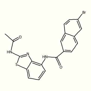 CC(=O)Nc1nc2c(NC(=O)c3ccc4cc(Br)ccc4c3)cccc2s1